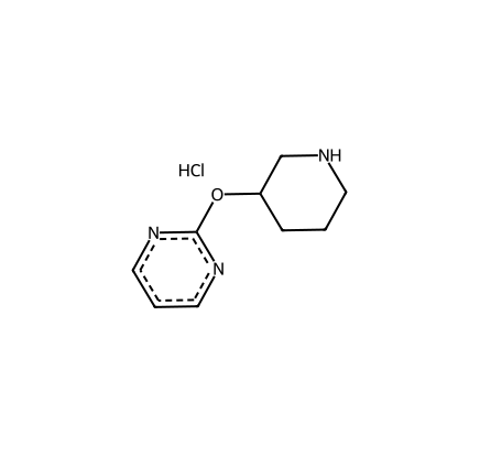 Cl.c1cnc(OC2CCCNC2)nc1